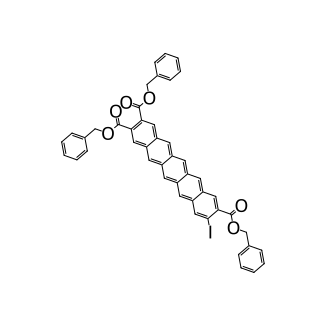 O=C(OCc1ccccc1)c1cc2cc3cc4cc5cc(C(=O)OCc6ccccc6)c(C(=O)OCc6ccccc6)cc5cc4cc3cc2cc1I